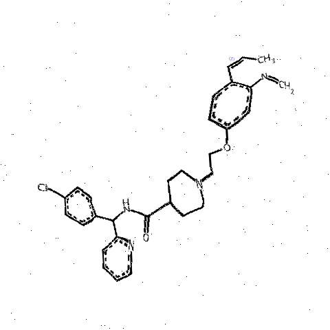 C=Nc1cc(OCCN2CCC(C(=O)NC(c3ccc(Cl)cc3)c3ccccn3)CC2)ccc1/C=C\C